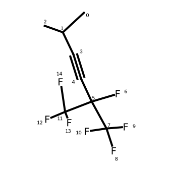 CC(C)C#CC(F)(C(F)(F)F)C(F)(F)F